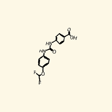 O=C(Nc1ccc(OC(F)F)cc1)Nc1ccc(C(=O)O)cc1